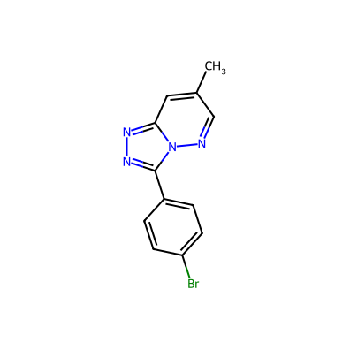 Cc1cnn2c(-c3ccc(Br)cc3)nnc2c1